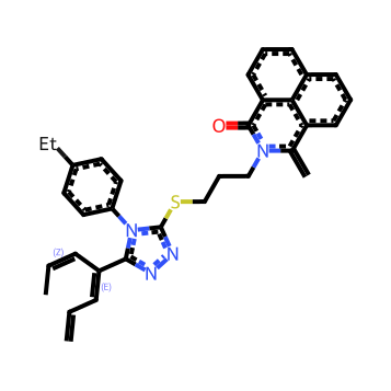 C=C/C=C(\C=C/C)c1nnc(SCCCn2c(=C)c3cccc4cccc(c2=O)c43)n1-c1ccc(CC)cc1